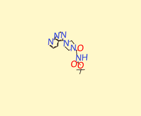 CC(C)(C)OC(=O)NCC(=O)N1CCN(c2ncnc3ncccc23)CC1